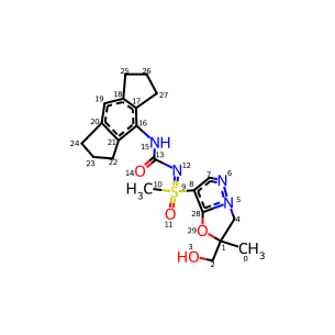 CC1(CO)Cn2ncc(S(C)(=O)=NC(=O)Nc3c4c(cc5c3CCC5)CCC4)c2O1